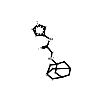 O=C(CNC12CC3CC(CC(C3)C1)C2)Nc1ccsc1